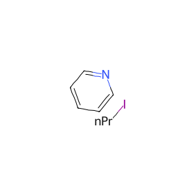 CCCI.c1ccncc1